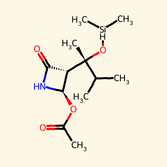 CC(=O)O[C@H]1NC(=O)[C@@H]1[C@](C)(O[SiH](C)C)C(C)C